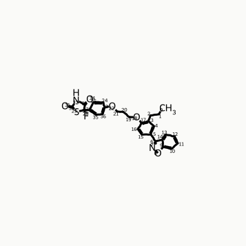 CCCc1cc(-c2noc3ccccc23)ccc1OCCCOc1ccc(C2(F)SC(=O)NC2=O)cc1